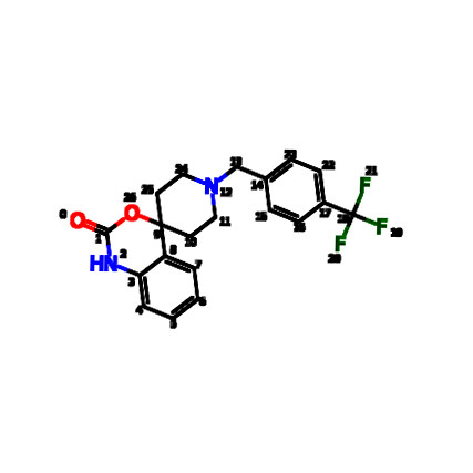 O=C1Nc2ccccc2C2(CCN(Cc3ccc(C(F)(F)F)cc3)CC2)O1